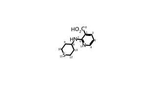 O=C(O)c1cccnc1NC1CCSCC1